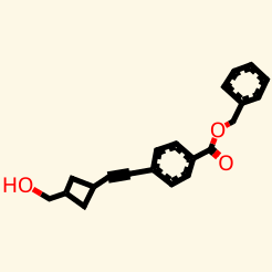 O=C(OCc1ccccc1)c1ccc(C#CC2CC(CO)C2)cc1